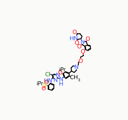 Cc1cc(Nc2ncc(Cl)c(Nc3ccccc3S(=O)(=O)C(C)C)n2)c(OC(C)C)cc1C1CCN(CCOCCOc2cccc3c2C(=O)N(C2CCC(=O)NC2=O)C3=O)CC1